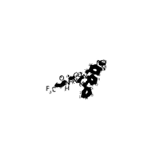 C[C@H](NC(=O)CCC(F)(F)F)C(=O)NC1N=C(c2ccccc2)c2ccccc2N(Cc2ccc3nonc3c2)C1=O